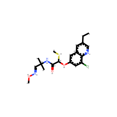 CCc1cnc2c(Cl)cc(OC(SC)C(=O)NC(C)(C)C=NOC)cc2c1